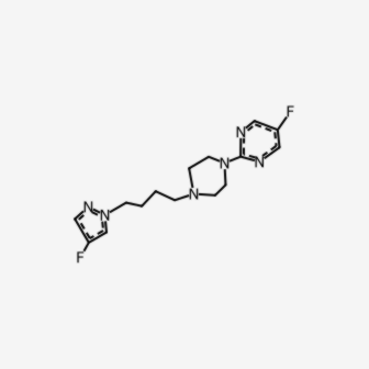 Fc1cnc(N2CCN(CCCCn3cc(F)cn3)CC2)nc1